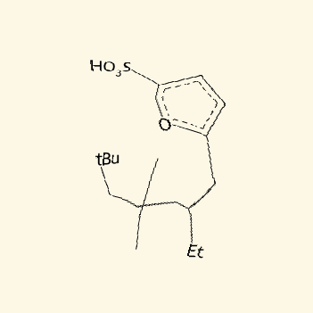 CCC(Cc1ccc(S(=O)(=O)O)o1)C(C)(C)CC(C)(C)C